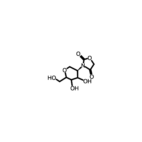 O=C1COC(=O)N1[C@@H]1COC(CO)C(O)C1O